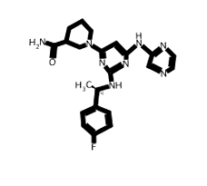 C[C@H](Nc1nc(Nc2cnccn2)cc(N2CCCC(C(N)=O)C2)n1)c1ccc(F)cc1